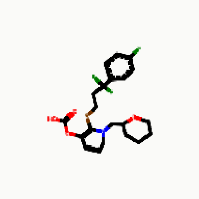 O=C(O)OC1=C(SCCC(F)(F)c2ccc(F)cc2)N(CC2CCCCO2)CC=C1